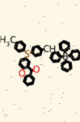 Cc1ccc([S+](c2ccc(C)cc2)c2ccc3oc4ccccc4c(=O)c3c2)cc1.c1ccc([B-](c2ccccc2)(c2ccccc2)c2ccccc2)cc1